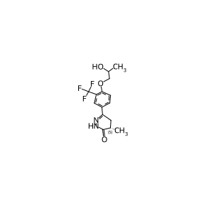 CC(O)COc1ccc(C2=NNC(=O)[C@@H](C)C2)cc1C(F)(F)F